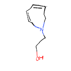 OCCN1C=CC=[C]C1